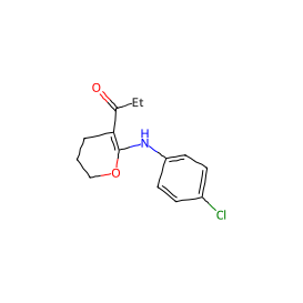 CCC(=O)C1=C(Nc2ccc(Cl)cc2)OCCC1